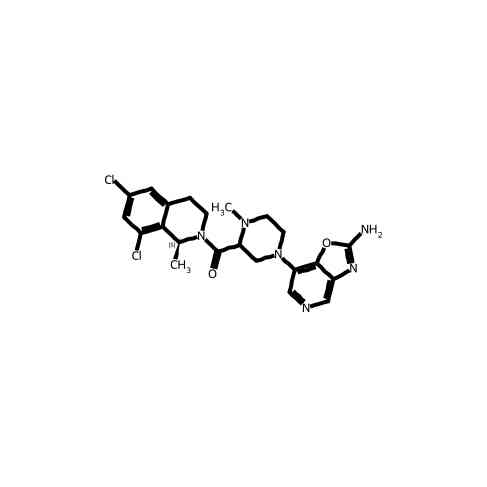 C[C@H]1c2c(Cl)cc(Cl)cc2CCN1C(=O)C1CN(c2cncc3nc(N)oc23)CCN1C